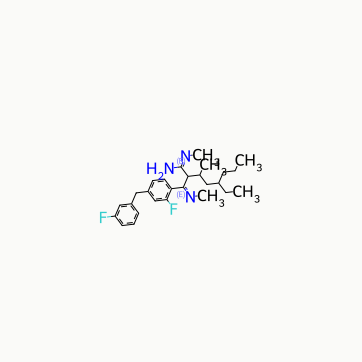 CCCC(CC)CC(C)C(/C(N)=N\C)/C(=N\C)c1ccc(Cc2cccc(F)c2)cc1F